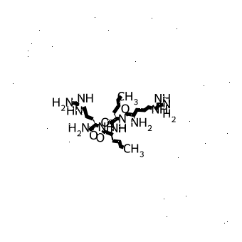 CCCC[C@H](NC(=O)[C@H](CCCC)NC(=O)[C@@H](N)CCCNC(=N)N)C(=O)N[C@@H](CCCNC(=N)N)C(N)=O